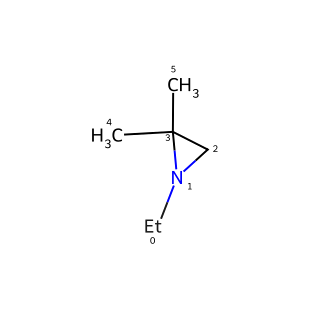 CCN1CC1(C)C